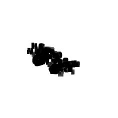 CNC(C)C(=O)c1[nH]c2ccccc2c1C[C@@H](N)C(=O)N1CCC[C@](Cc2ccccc2)(C(=O)N(C)N(C)C)C1